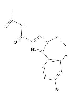 C=C(C)NC(=O)c1cn2c(n1)-c1ccc(Br)cc1OCC2